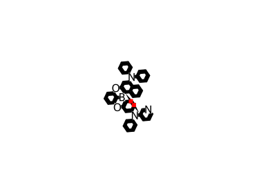 C1=CC2C(N(c3ccccc3)c3cccnc3)=CC3=C(B4c5c(cccc5Oc5cc(N(c6ccccc6)c6ccccc6)c6ccccc6c54)O3)C2C=C1